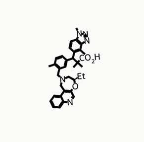 CC[C@@H]1CN(Cc2cc(C(c3ccc4c(nnn4C)c3C)C(C)(C)C(=O)O)ccc2C)Cc2c(cnc3ccccc23)O1